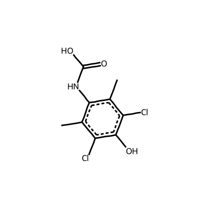 Cc1c(Cl)c(O)c(Cl)c(C)c1NC(=O)O